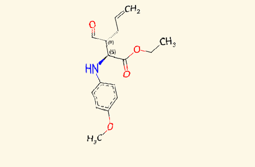 C=CC[C@@H](C=O)[C@H](Nc1ccc(OC)cc1)C(=O)OCC